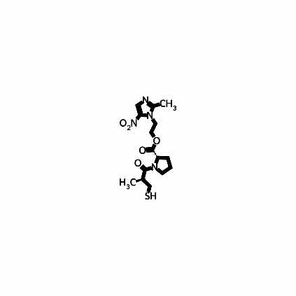 Cc1ncc([N+](=O)[O-])n1CCOC(=O)[C@@H]1CCCN1C(=O)[C@H](C)CS